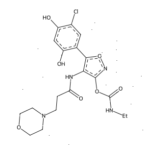 CCNC(=O)Oc1noc(-c2cc(Cl)c(O)cc2O)c1NC(=O)CCN1CCOCC1